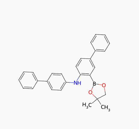 CC1(C)COB(c2cc(-c3ccccc3)ccc2Nc2ccc(-c3ccccc3)cc2)O1